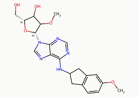 COc1ccc2c(c1)CC(Nc1ncnc3c1ncn3[C@@H]1O[C@H](CO)C(O)C1OC)C2